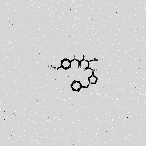 CC(C)(C)C(NC(=O)Nc1ccc(OC(F)(F)F)cc1)C(=O)NC1CCN(Cc2ccccc2)C1